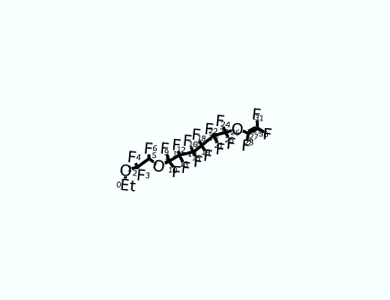 CCOC(F)(F)C(F)OC(F)(F)C(F)(F)C(F)(F)C(F)(F)C(F)(F)C(F)(F)OC(F)=C(F)F